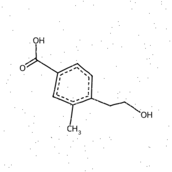 Cc1cc(C(=O)O)ccc1CCO